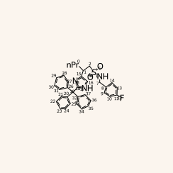 [CH2]CCC(CS(=O)(=O)NCc1ccc(F)cc1)c1c[nH]c(C(c2ccccc2)(c2ccccc2)c2ccccc2)n1